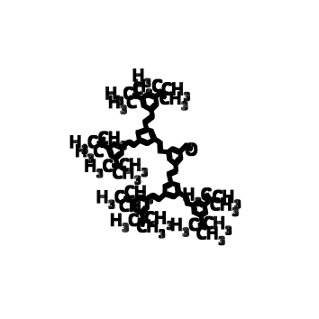 CC(C)(C)c1cc(C=Cc2cc(C=Cc3cc(C=O)cc(C=Cc4cc(C=Cc5cc(C(C)(C)C)cc(C(C)(C)C)c5)cc(C=Cc5cc(C(C)(C)C)cc(C(C)(C)C)c5)c4)c3)cc(C=Cc3cc(C(C)(C)C)cc(C(C)(C)C)c3)c2)cc(C(C)(C)C)c1